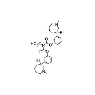 CCC1(c2cccc(OC(=O)N(C(=O)O)C(=O)Oc3cccc(C4(CC)CCCCN(C)C4)c3)c2)CCCCN(C)C1